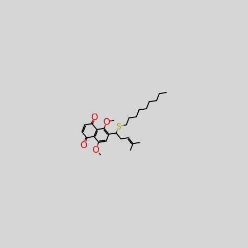 CCCCCCCCCSC(CC=C(C)C)c1cc(OC)c2c(c1OC)C(=O)C=CC2=O